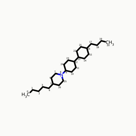 CCCCCC1CCN(C2CCC(C3CCC(CCCC)CC3)CC2)CC1